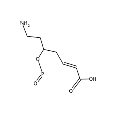 NCCC(CC=CC(=O)O)OP=O